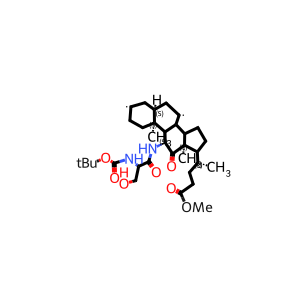 COC(=O)CC[C@@H](C)C1CCC2C3[CH]C[C@@H]4C[CH]CC[C@]4(C)C3[C@H](NC(=O)C(CO)NC(=O)OC(C)(C)C)C(=O)[C@@]21C